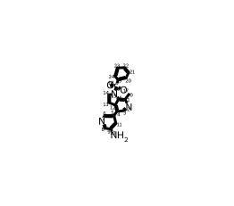 Cc1ncc(-c2cncc(N)c2)c2ccn(S(=O)(=O)c3ccccc3)c12